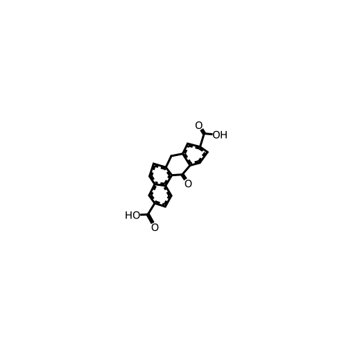 O=C(O)c1ccc2c(c1)Cc1ccc3cc(C(=O)O)ccc3c1C2=O